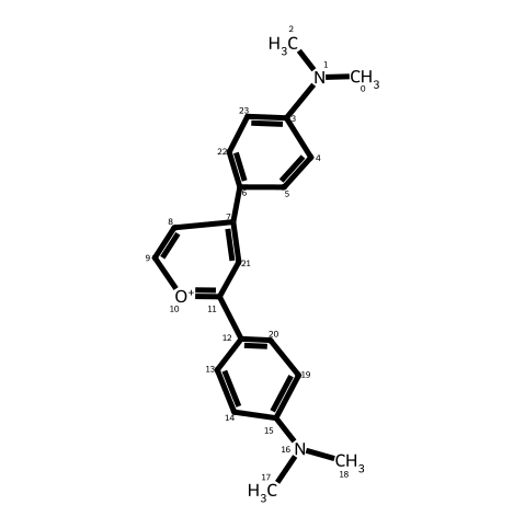 CN(C)c1ccc(-c2cc[o+]c(-c3ccc(N(C)C)cc3)c2)cc1